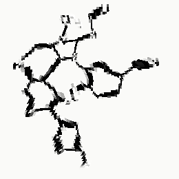 Cc1ccc(C#N)cc1-n1/c(=N/C=O)n(C)c2cnc3ccc(-c4ccc(F)cc4)cc3c21